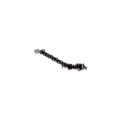 CCCN(OCC)C(=O)C1=Cc2ccc(-c3ccc(C(=O)N4CCC[C@@H]4C(=O)NCCOCCOCCOCCOCCOCCOCCOCCOCCOCCOCCC(=O)OC(C)(C)C)nc3)cc2N=C(N)C1